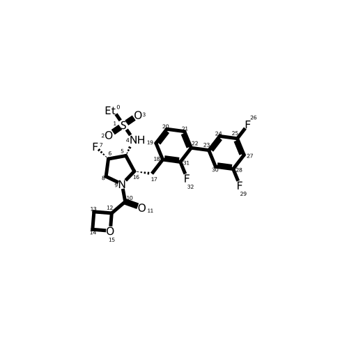 CCS(=O)(=O)N[C@H]1[C@@H](F)CN(C(=O)C2CCO2)[C@H]1Cc1cccc(-c2cc(F)cc(F)c2)c1F